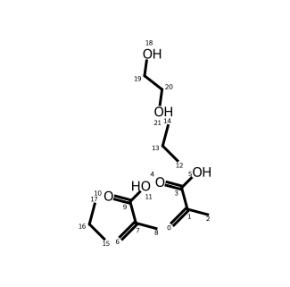 C=C(C)C(=O)O.C=C(C)C(=O)O.CCC.CCC.OCCO